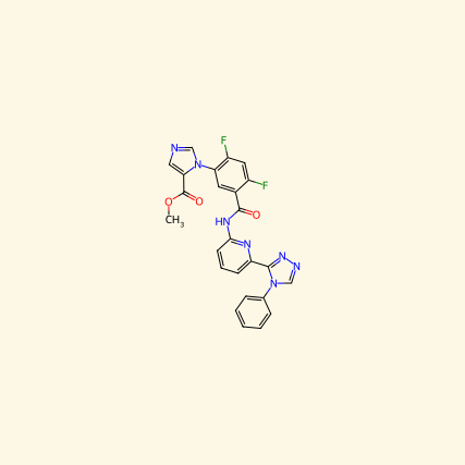 COC(=O)c1cncn1-c1cc(C(=O)Nc2cccc(-c3nncn3-c3ccccc3)n2)c(F)cc1F